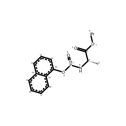 CC(C)OC(=O)[C@H](C)N[PH](=O)Oc1cccc2ccccc12